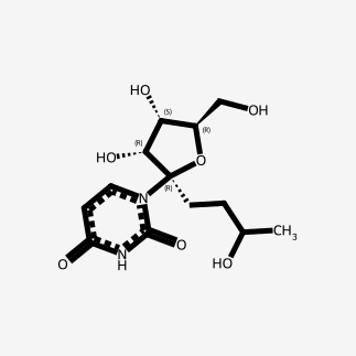 CC(O)CC[C@@]1(n2ccc(=O)[nH]c2=O)O[C@H](CO)[C@@H](O)[C@H]1O